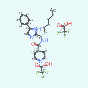 CC(=O)CCCCC[C@H](NC(=O)c1ccncc1)c1ncc(-c2ccccc2)[nH]1.O=C(O)C(F)(F)F.O=C(O)C(F)(F)F